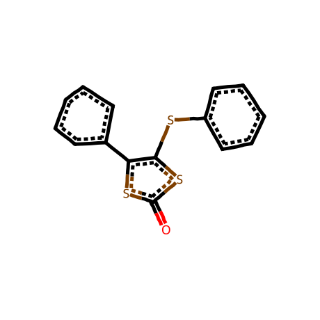 O=c1sc(Sc2ccccc2)c(-c2ccccc2)s1